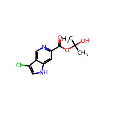 CC(C)(O)OC(=O)c1cc2[nH]cc(Cl)c2cn1